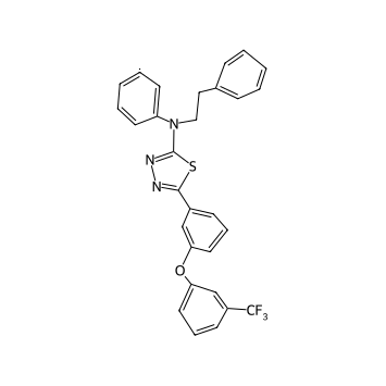 FC(F)(F)c1cccc(Oc2cccc(-c3nnc(N(CCc4ccccc4)c4c[c]ccc4)s3)c2)c1